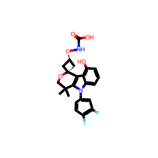 CC1(C)CO[C@]2(C[C@@H](ONC(=O)O)C2)c2c1n(-c1ccc(F)c(F)c1)c1cccc(O)c12